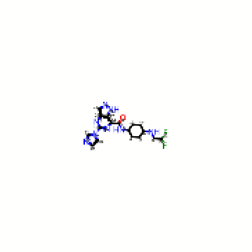 O=C(NC1CCC(NCC(F)F)CC1)c1nc(-n2ccnc2)nc2cn[nH]c12